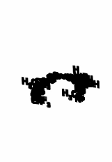 Cc1ncsc1-c1nnc([C@@H]2C[C@@H](O)CN2C(=O)[C@@H](NC(=O)COCCCCOc2ccc(-c3ccc(N4C(=S)N(c5ccc(C#N)c(C(F)(F)F)c5F)C(=O)C4(C)C)cn3)cc2)C(C)(C)C)o1